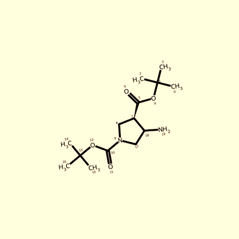 CC(C)(C)OC(=O)[C@@H]1CN(C(=O)OC(C)(C)C)CC1N